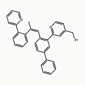 C/C(=C/c1ccc(-c2ccccc2)cc1-c1cc(CC(C)C)ccn1)c1ccccc1-c1ccccn1